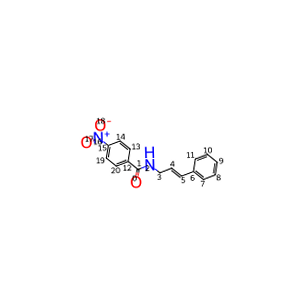 O=C(NCC=Cc1ccccc1)c1ccc([N+](=O)[O-])cc1